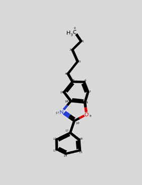 CCCCCc1ccc2oc(-c3ccccc3)nc2c1